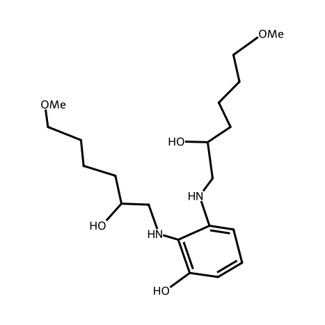 COCCCCC(O)CNc1cccc(O)c1NCC(O)CCCCOC